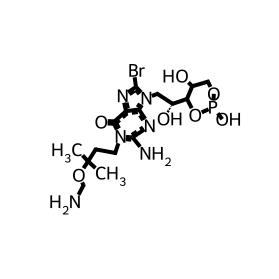 CC(C)(CCn1c(N)nc2c(nc(Br)n2C[C@@H](O)C2OP(O)OCC2O)c1=O)OCN